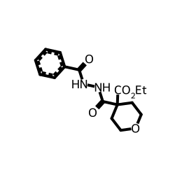 CCOC(=O)C1(C(=O)NNC(=O)c2ccccc2)CCOCC1